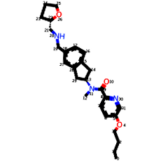 CCCCOc1ccc(C(=O)N(C)[C@@H]2Cc3ccc(CNC[C@@H]4CCCO4)cc3C2)nc1